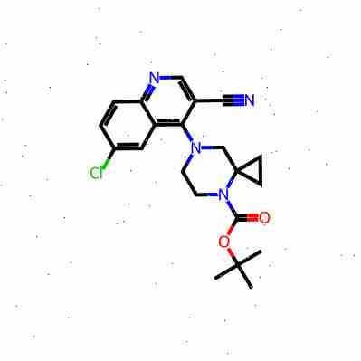 CC(C)(C)OC(=O)N1CCN(c2c(C#N)cnc3ccc(Cl)cc23)CC12CC2